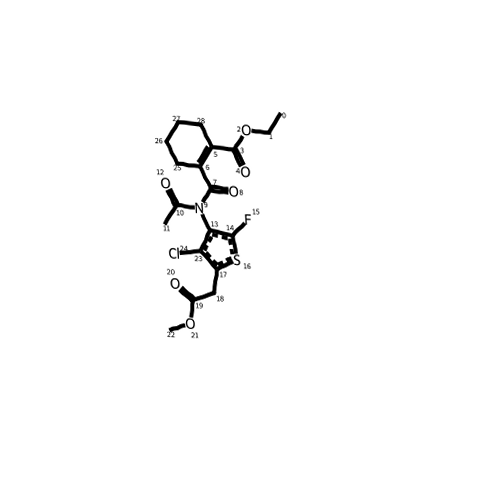 CCOC(=O)C1=C(C(=O)N(C(C)=O)c2c(F)sc(CC(=O)OC)c2Cl)CCCC1